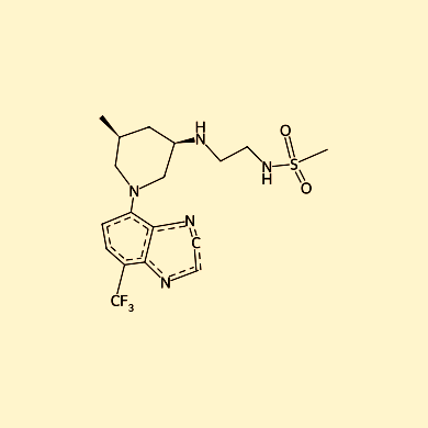 C[C@H]1C[C@@H](NCCNS(C)(=O)=O)CN(c2ccc(C(F)(F)F)c3nccnc23)C1